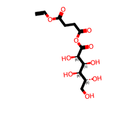 C=COC(=O)CCC(=O)OC(=O)[C@H](O)[C@@H](O)[C@H](O)[C@H](O)CO